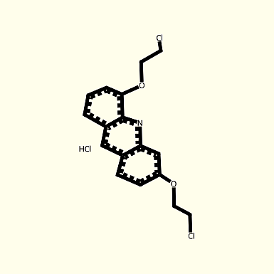 Cl.ClCCOc1ccc2cc3cccc(OCCCl)c3nc2c1